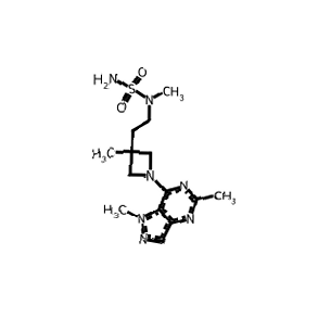 Cc1nc(N2CC(C)(CCN(C)S(N)(=O)=O)C2)c2c(cnn2C)n1